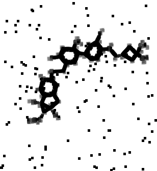 CCOC(=O)[C@H]1[C@@H]2Cc3cc(OCc4cc(-c5ccc(OC[C@H]6C[C@@](C)(O)C6)c(F)c5)c(C(F)(F)F)cc4F)ncc3[C@@H]21